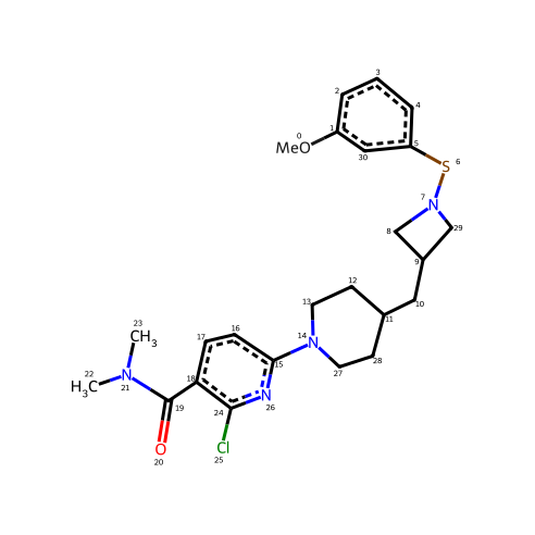 COc1cccc(SN2CC(CC3CCN(c4ccc(C(=O)N(C)C)c(Cl)n4)CC3)C2)c1